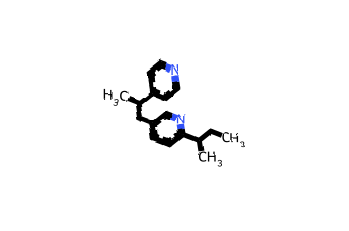 CCC(C)c1ccc(CC(C)c2ccncc2)cn1